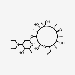 CC[C@H]1OC(O)[C@H](C)[C@@H](O[C@H]2CC(N(CC)CC)[C@H](O)C(C)O2)[C@H](C)[C@@H](O)[C@](C)(O)C[C@@H](C)C(=O)[C@H](C)[C@@H](O)[C@H]1C